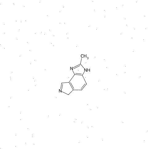 Cc1nc2c3c(ccc2[nH]1)CN=C3